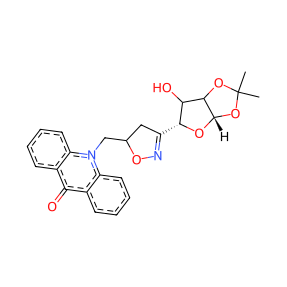 CC1(C)OC2C(O)[C@@H](C3=NOC(Cn4c5ccccc5c(=O)c5ccccc54)C3)O[C@H]2O1